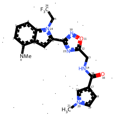 CNc1cccc2c1cc(-c1noc(CNC(=O)c3ccn(C)c3)n1)n2CC(F)(F)F